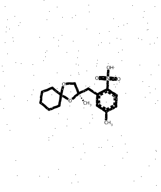 Cc1ccc(S(=O)(=O)O)c(C[C@]2(C)COC3(CCCCC3)O2)c1